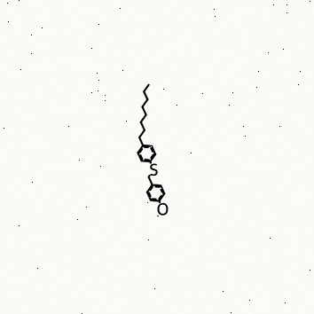 CCCCCCCCc1ccc(SCc2ccc(OC)cc2)cc1